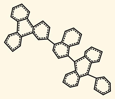 c1ccc(-c2c3ccccc3c(-c3ccc(-c4ccc5c6ccccc6c6ccccc6c5c4)c4ccccc34)c3ccccc23)cc1